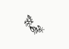 CC(C)(C)OC(=O)N1CCO[C@@H](CCC(=O)c2c(F)cc(Br)cc2F)C1